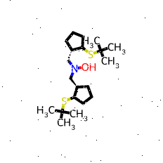 CC(C)(C)SC1CCC[C@@H]1CN(O)C[C@@H]1CCCC1SC(C)(C)C